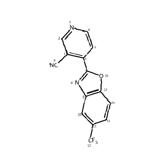 N#Cc1cnccc1-c1nc2cc(C(F)(F)F)ccc2o1